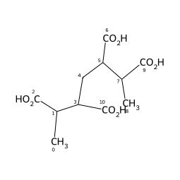 CC(C(=O)O)C(CC(C(=O)O)C(C)C(=O)O)C(=O)O